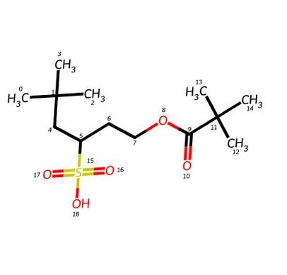 CC(C)(C)CC(CCOC(=O)C(C)(C)C)S(=O)(=O)O